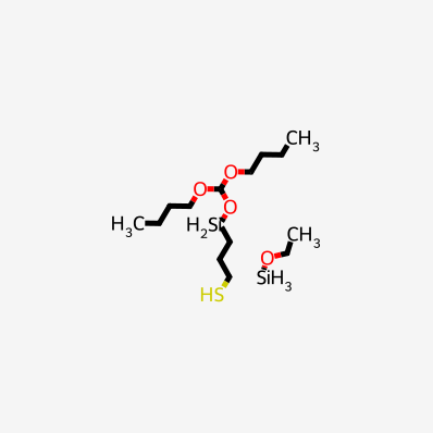 CCCCOC(OCCCC)O[SiH2]CCCS.CCO[SiH3]